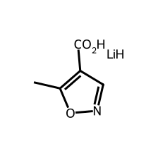 Cc1oncc1C(=O)O.[LiH]